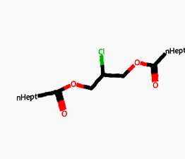 CCCCCCCC(=O)OCC(Cl)COC(=O)CCCCCCC